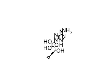 NN=c1nc[nH]c2c1ncn2[C@@H]1O[C@H](C(O)C#CC2CC2)[C@@H](O)[C@H]1O